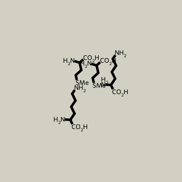 CSCCC(N)C(=O)O.CSCCC(N)C(=O)O.NCCCCC(N)C(=O)O.NCCCCC(N)C(=O)O